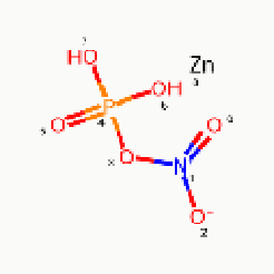 O=[N+]([O-])OP(=O)(O)O.[Zn]